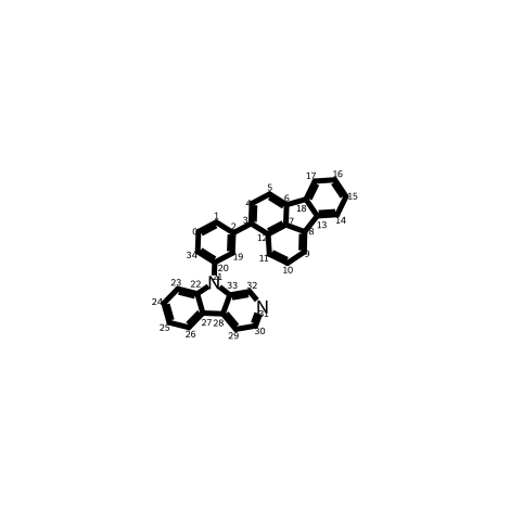 c1cc(-c2ccc3c4c(cccc24)-c2ccccc2-3)cc(-n2c3ccccc3c3ccncc32)c1